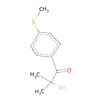 BC(C)(C)C(=O)c1ccc(SC)cc1